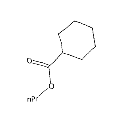 CCCOC(=O)C1CCCCC1